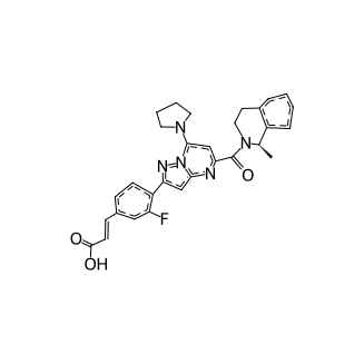 C[C@@H]1c2ccccc2CCN1C(=O)c1cc(N2CCCC2)n2nc(-c3ccc(/C=C/C(=O)O)cc3F)cc2n1